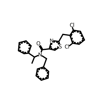 CC(c1ccccc1)N(Cc1ccccc1)C(=O)c1csc(Cc2c(Cl)cccc2Cl)n1